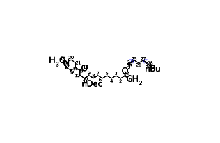 C=C(CCCCCCCCC(CCCCCCCCCC)CC(=O)C1CCN(C)CC1)OC/C=C\C/C=C\CCCC